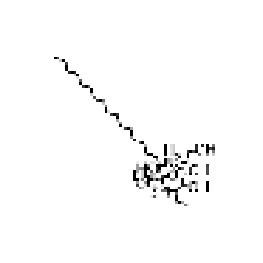 CCCCCCCCCCCCCCCCC(N)(O)C(CC(CC)C(=O)O)(OCC(O)CO)P(=O)(O)O